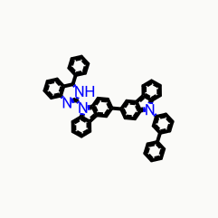 c1ccc(-c2cccc(-n3c4ccccc4c4cc(-c5ccc6c(c5)c5ccccc5n6C5=Nc6ccccc6C(c6ccccc6)N5)ccc43)c2)cc1